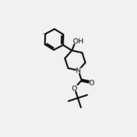 CC(C)(C)OC(=O)N1CCC(O)(C2=CC[CH]C=C2)CC1